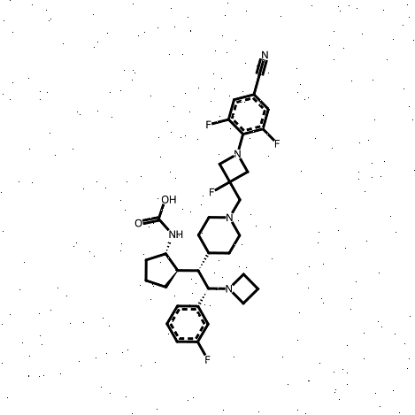 N#Cc1cc(F)c(N2CC(F)(CN3CCC([C@@H]([C@H]4CCC[C@@H]4NC(=O)O)[C@@H](c4cccc(F)c4)N4CCC4)CC3)C2)c(F)c1